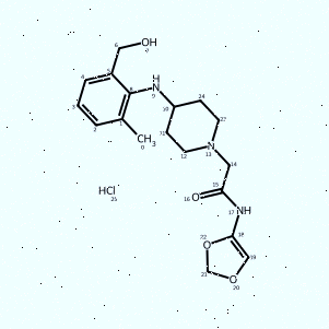 Cc1cccc(CO)c1NC1CCN(CC(=O)NC2=COCO2)CC1.Cl